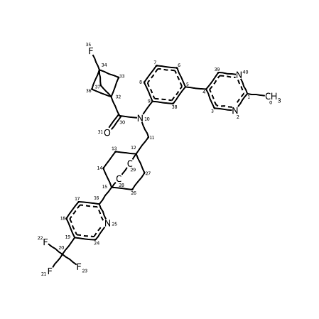 Cc1ncc(-c2cccc(N(CC34CCC(c5ccc(C(F)(F)F)cn5)(CC3)CC4)C(=O)C34CC(F)(C3)C4)c2)cn1